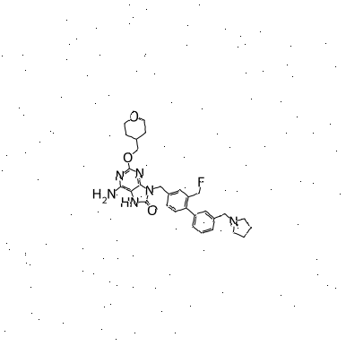 Nc1nc(OCC2CCOCC2)nc2c1[nH]c(=O)n2Cc1ccc(-c2cccc(CN3CCCC3)c2)c(CF)c1